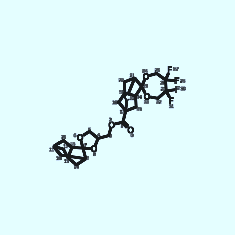 O=C(OCC1COC2(O1)C1CC3CC(C1)C2C3)C12CC3CC(C1)C1(OCC(F)(F)C(F)(F)CO1)C3C2